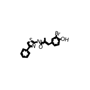 C/C(=C\c1ccc(O)c(Br)c1)C(=O)Nc1nc(-c2ccccc2)cs1